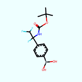 CC(C)(C)OC(=O)NC(F)(c1ccc(B(O)O)cc1)C(F)F